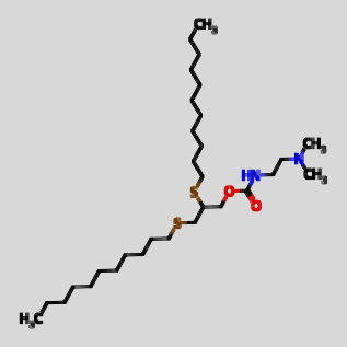 CCCCCCCCCCCSCC(COC(=O)NCCN(C)C)SCCCCCCCCCCC